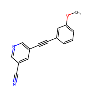 COc1cccc(C#Cc2cncc(C#N)c2)c1